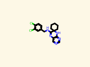 Clc1ccc(CNC2=Nc3cncnc3NC23CCCCC3)cc1Cl